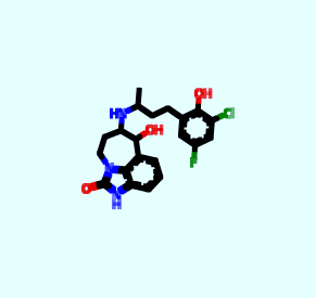 CC(CCc1cc(F)cc(Cl)c1O)NC1CCn2c(=O)[nH]c3cccc(c32)C1O